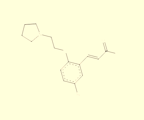 O=C(O)/C=C/c1cc(Br)ccc1OCCN1CCCC1